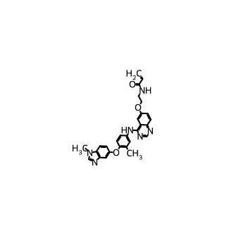 C=CC(=O)NCCOc1ccc2ncnc(Nc3ccc(Oc4ccc5c(c4)ncn5C)c(C)c3)c2c1